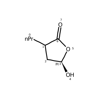 CCCC1C[C@H](O)OC1=O